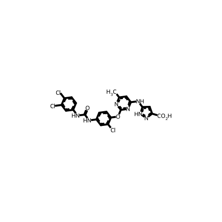 Cc1cc(Nc2cc(C(=O)O)n[nH]2)nc(Oc2ccc(NC(=O)Nc3ccc(Cl)c(Cl)c3)cc2Cl)n1